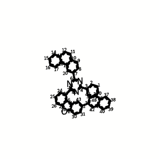 c1ccc(-c2nc(-c3ccc4ccc5ccccc5c4c3)nc(-c3cccc4oc5ccc(-c6ccc7ccccc7c6)cc5c34)n2)cc1